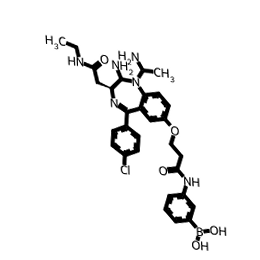 CCNC(=O)C[C@@H]1N=C(c2ccc(Cl)cc2)c2cc(OCCC(=O)Nc3cccc(B(O)O)c3)ccc2N(C(C)N)C1N